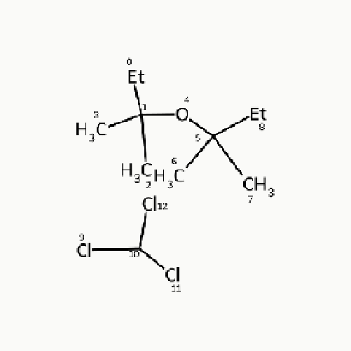 CCC(C)(C)OC(C)(C)CC.ClC(Cl)Cl